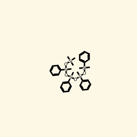 C[Si](C)(C)O[Si](C)(O[Si](C)(O[Si](C)(O[Si](C)(C)c1ccccc1)c1ccccc1)c1ccccc1)c1ccccc1